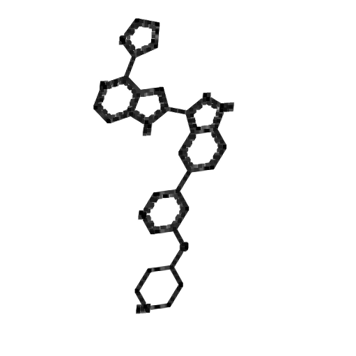 c1csc(-c2nccc3[nH]c(-c4n[nH]c5ccc(-c6cncc(OC7CCNCC7)c6)cc45)cc23)c1